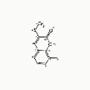 Cc1cccc2cc(SC(F)(F)F)c(=O)oc12